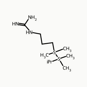 CC(C)S(C)(C)S(C)(C)CCCNC(=N)N